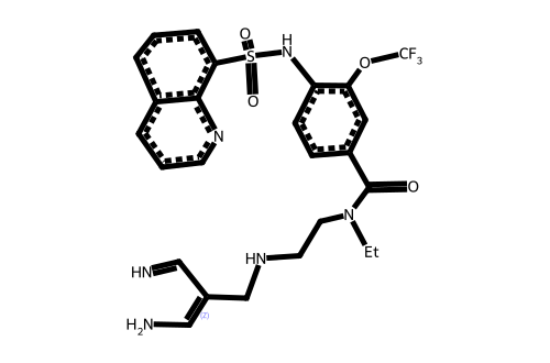 CCN(CCNC/C(C=N)=C/N)C(=O)c1ccc(NS(=O)(=O)c2cccc3cccnc23)c(OC(F)(F)F)c1